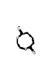 O=C1CCCC(=O)OCCO1